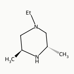 CCN1C[C@H](C)N[C@@H](C)C1